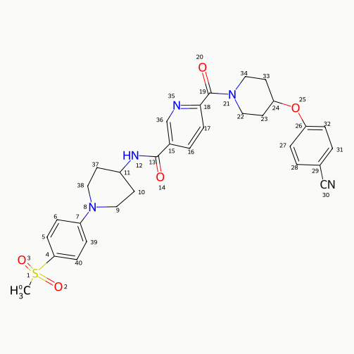 CS(=O)(=O)c1ccc(N2CCC(NC(=O)c3ccc(C(=O)N4CCC(Oc5ccc(C#N)cc5)CC4)nc3)CC2)cc1